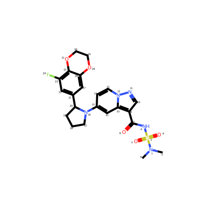 CN(C)S(=O)(=O)NC(=O)c1cnn2ccc(N3CCCC3c3cc(F)c4c(c3)OCCO4)cc12